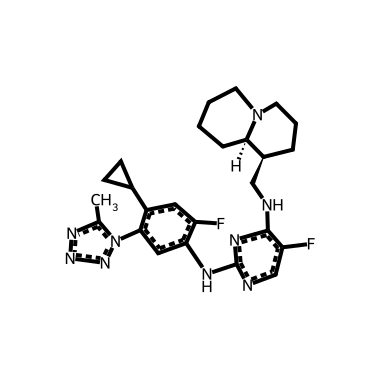 Cc1nnnn1-c1cc(Nc2ncc(F)c(NC[C@@H]3CCCN4CCCC[C@H]34)n2)c(F)cc1C1CC1